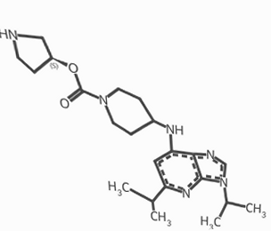 CC(C)c1cc(NC2CCN(C(=O)O[C@H]3CCNC3)CC2)c2ncn(C(C)C)c2n1